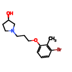 Cc1c(Br)cccc1OCCCN1CC[C@@H](O)C1